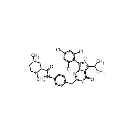 CC(C)c1[nH]n(-c2c(Cl)cc(Cl)cc2Cl)c2nc(Cc3ccc(NC(=O)C4CN(C)CCN4C)cc3)nc(=O)c1-2